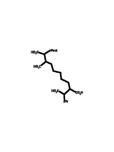 CCCCCC(C(=O)O)C(CCCCCC(C(=O)O)C(CCC)C(=O)O)C(=O)O